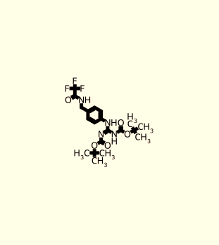 CC(C)(C)OC(=O)N=C(NC(=O)OC(C)(C)C)Nc1ccc(CNC(=O)C(F)(F)F)cc1